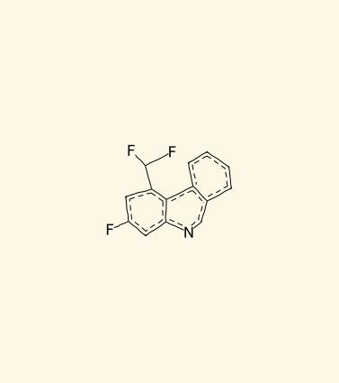 Fc1cc(C(F)F)c2c(c1)ncc1ccccc12